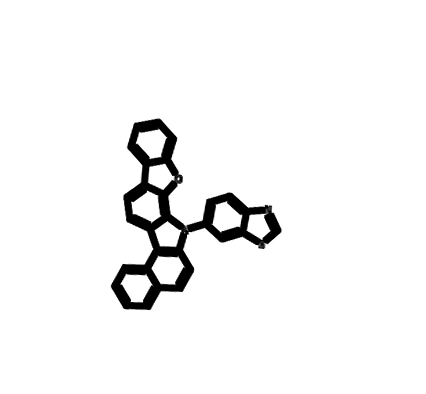 c1ccc2c(c1)ccc1c2c2ccc3c4ccccc4oc3c2n1-c1ccc2ncsc2c1